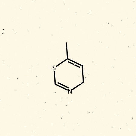 CC1=CCN=CS1